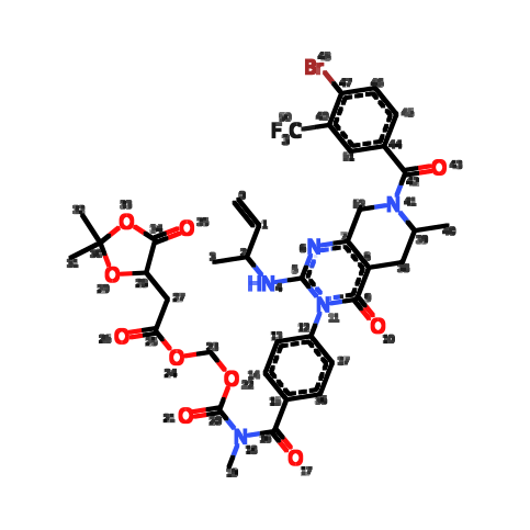 C=CC(C)Nc1nc2c(c(=O)n1-c1ccc(C(=O)N(C)C(=O)OCOC(=O)CC3OC(C)(C)OC3=O)cc1)CC(C)N(C(=O)c1ccc(Br)c(C(F)(F)F)c1)C2